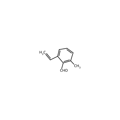 C=Cc1cccc(C)c1C=O